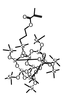 C=C(C)C(=O)OCCC[Si](C)(C)O[Si]12O[Si]3(O[Si](C)(C)C)O[Si]4(O[Si](C)(C)C)O[Si]5(O[Si](C)(C)C)O[Si](O[Si](C)(C)C)(O3)O[Si](O[Si](C)(C)C)(O[Si](O[Si](C)(C)C)(O5)O[Si](O[Si](C)(C)C)(O4)O1)O2